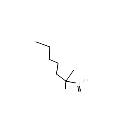 CCCCCC(C)(C)[N+](=O)[O-]